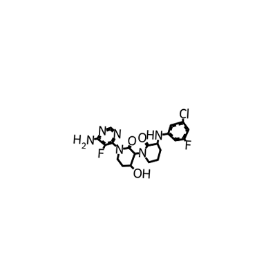 Nc1ncnc(N2CCC(O)C(N3CCCC(Nc4cc(F)cc(Cl)c4)C3=O)C2=O)c1F